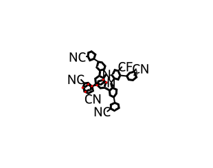 N#Cc1cccc(-c2ccc3c(c2)c2cc(-c4cccc(C#N)c4)ccc2n3-c2cc(-c3cccc(C#N)c3)c(C(F)(F)F)cc2-n2c3ccc(-c4cccc(C#N)c4)cc3c3cc(-c4cccc(C#N)c4)ccc32)c1